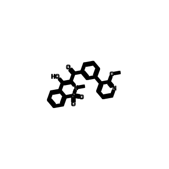 COc1ncccc1-c1cccc(C(=O)C2=C(O)c3ccccc3S(=O)(=O)N2C)c1